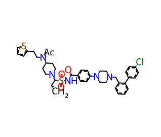 C=CC(N1CCC(N(CCc2cccs2)C(C)=O)CC1)S(=O)(=O)NC(=O)c1ccc(N2CCN(Cc3ccccc3-c3ccc(Cl)cc3)CC2)cc1